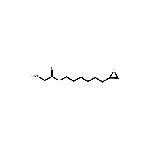 CCCCCCCCCC(=O)OCCCCCCC1CO1